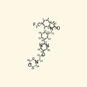 O=c1sc2ccc(C(F)(F)F)cc2n1Cc1cccc(-c2ncc(OCCN3CCOCC3)cn2)c1